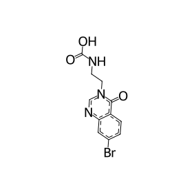 O=C(O)NCCn1cnc2cc(Br)ccc2c1=O